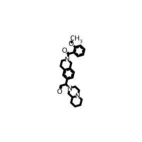 COc1ccccc1C(=O)N1CCc2cc(C(C=O)N3CCN4CCCCC4C3)ccc2C1